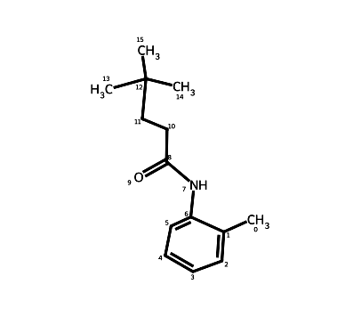 Cc1ccccc1NC(=O)CCC(C)(C)C